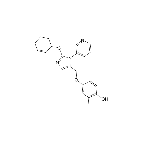 Cc1cc(OCc2cnc(SC3C=CCCC3)n2-c2cccnc2)ccc1O